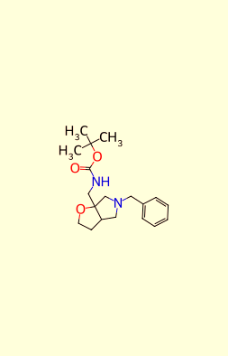 CC(C)(C)OC(=O)NCC12CN(Cc3ccccc3)CC1CCO2